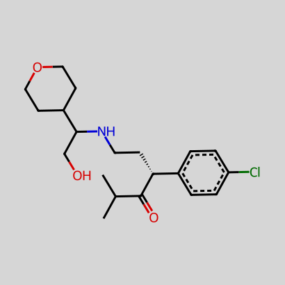 CC(C)C(=O)[C@H](CCNC(CO)C1CCOCC1)c1ccc(Cl)cc1